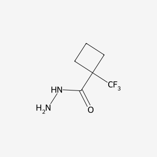 NNC(=O)C1(C(F)(F)F)CCC1